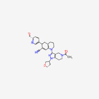 CC(=O)N1CCc2c(c(N3CCCC4=C3C=C(C#N)C(c3ccc(C=O)nc3)C4)nn2C2CCOC2)C1